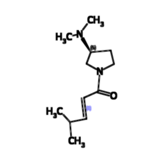 CC(C)/C=C/C(=O)N1CC[C@H](N(C)C)C1